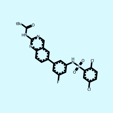 CC(C)(C)C(=O)Nc1ncc2cc(-c3cc(F)cc(NS(=O)(=O)c4cc(Cl)ccc4Cl)c3)ccc2n1